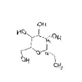 CC[C@@H]1OC(CO)C(O)C(O)[C@@H]1O